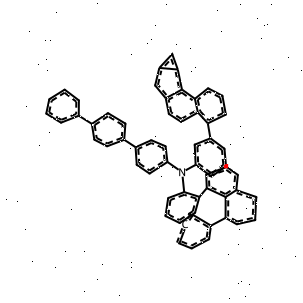 c1ccc(-c2ccc(-c3ccc(N(c4cccc(-c5cccc6c5ccc5cc7cc-7c56)c4)c4ccccc4-c4cccc5cccc(-c6ccccc6)c45)cc3)cc2)cc1